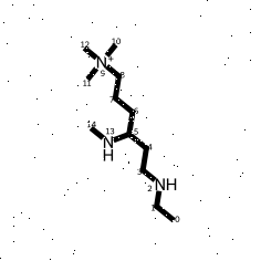 CCNCCC(CCC[N+](C)(C)C)NC